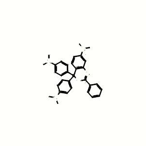 CN(C)c1ccc(C2(c3ccc(N(C)C)cc3)OC(c3ccccc3)=Nc3cc(N(C)C)ccc32)cc1